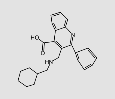 O=C(O)c1c(CNCC2CCCCC2)c(-c2ccccc2)nc2ccccc12